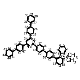 C[Si]1(C)c2ccccc2-c2c(-c3ccc(-c4ccc(-c5nc(-c6ccc(-c7ccccc7)cc6)cc(-c6ccc(-c7ccccc7)cc6)n5)cc4)cc3)cccc21